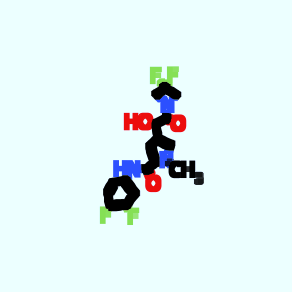 Cn1cc(C(O)C(=O)N2CC(F)(F)C2)cc1C(=O)Nc1ccc(F)c(F)c1